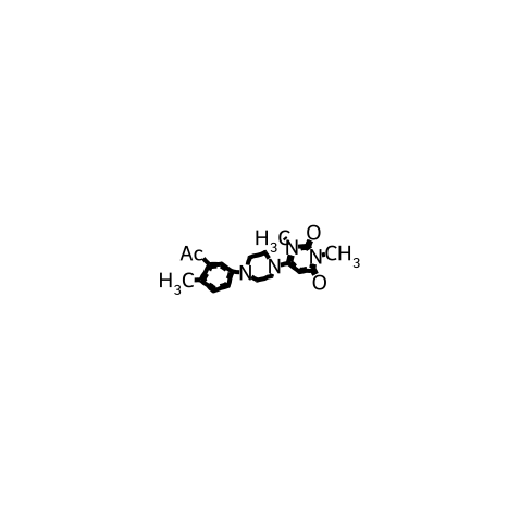 CC(=O)c1cc(N2CCN(c3cc(=O)n(C)c(=O)n3C)CC2)ccc1C